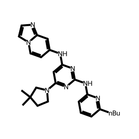 CCCCc1cccc(Nc2nc(Nc3ccn4ccnc4c3)cc(N3CCC(C)(C)C3)n2)n1